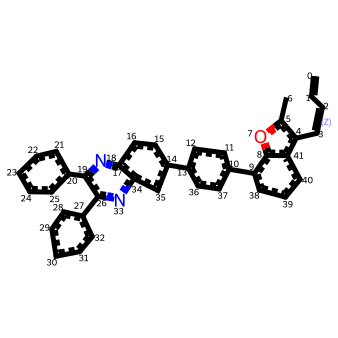 C=C/C=C\c1c(C)oc2c(-c3ccc(-c4ccc5nc(-c6ccccc6)c(-c6ccccc6)nc5c4)cc3)cccc12